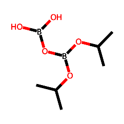 CC(C)OB(OB(O)O)OC(C)C